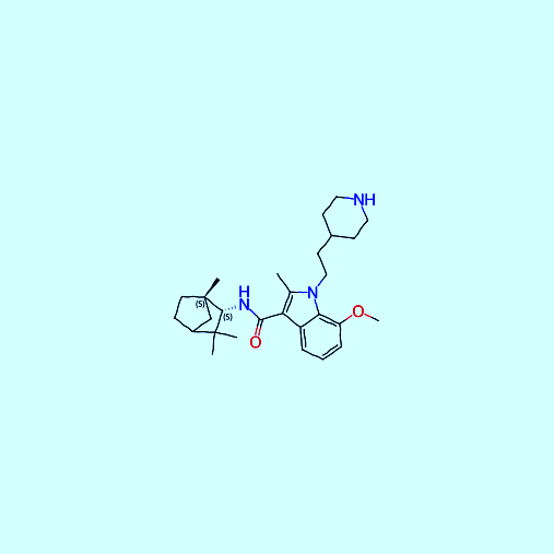 COc1cccc2c(C(=O)N[C@@H]3C(C)(C)C4CC[C@@]3(C)C4)c(C)n(CCC3CCNCC3)c12